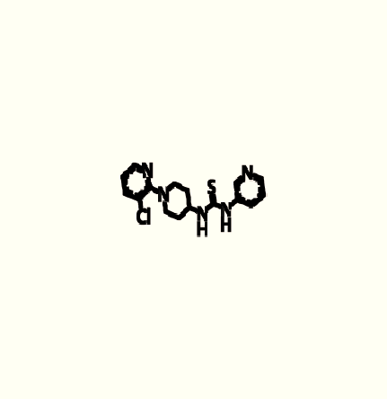 S=C(Nc1cccnc1)NC1CCN(c2ncccc2Cl)CC1